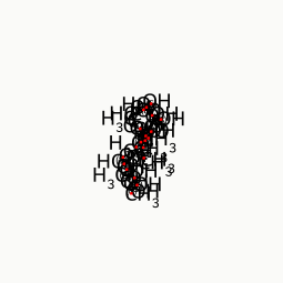 C[C@@H]1COC(O[C@@H]2[C@@H](O)[C@H](C)OC(O[C@H]3C(OC(=O)[C@]45CCC(C)(C)C[C@H]4C4=CC[C@@H]6[C@@]7(C)C[C@H](O)[C@@H]8OC9O[C@H](CO)[C@@H](O)[C@H](O)[C@H]9OC9OC[C@H](O)[C@H](O)[C@H]9OC(=O)CC(C)(O)CC(=O)OC[C@H]8[C@@H]7CC[C@@]6(C)[C@]4(C)CC5)OC[C@H](O)[C@@H]3O)[C@@H]2O)[C@H](O)[C@H]1O